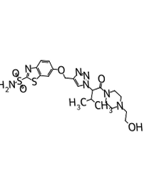 CC(C)C(C(=O)N1CCN(CCO)CC1)n1cc(COc2ccc3nc(S(N)(=O)=O)sc3c2)nn1